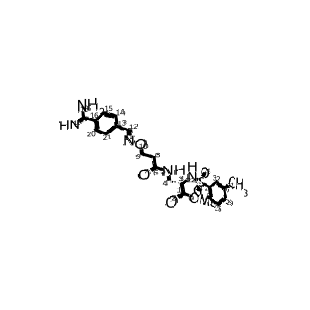 COC(=O)[C@H](CNC(=O)CCON=Cc1ccc(C(=N)N)cc1)NS(=O)(=O)c1cccc(C)c1